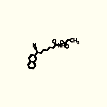 CCC(=O)ONC(=O)CCCCCC(C#N)c1ccc2ccccc2c1